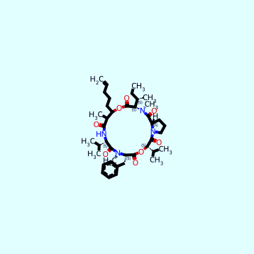 C=CCCCC1OC(=O)[C@H]([C@@H](C)CC)N(C)C(=O)[C@@H]2CCCN2C(=O)[C@H](C(C)C)OC(=O)[C@H](Cc2ccccc2)N(C)C(=O)[C@H](C(C)C)NC(=O)C1C